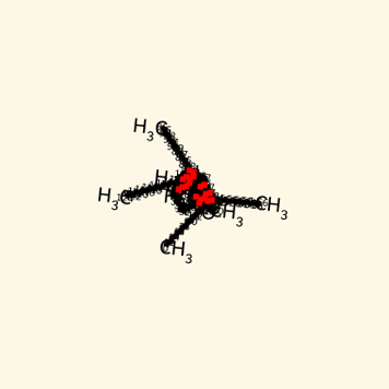 CCCCCCCCCCCCCCCCC(C(=O)OC)c1ccccc1C1=Cc2cc3ccc(cc4nc(cc5[nH]c(c(-c6ccccc6C(CCCCCCCCCCCCCCCC)C(=O)OC)c1n2)c(-c1ccccc1C(CCCCCCCCCCCCCCCC)C(=O)OC)c5-c1ccccc1C(CCCCCCCCCCCCCCCC)C(=O)OC)C=C4)[nH]3